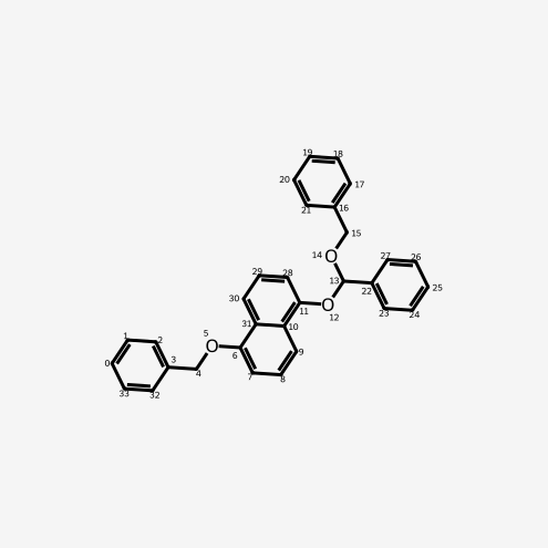 c1ccc(COc2cccc3c(OC(OCc4ccccc4)c4ccccc4)cccc23)cc1